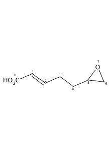 O=C(O)C=CCCC1CO1